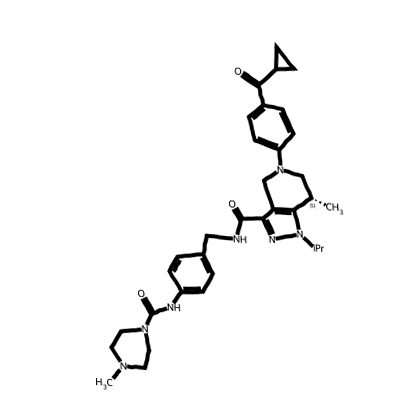 CC(C)n1nc(C(=O)NCc2ccc(NC(=O)N3CCN(C)CC3)cc2)c2c1[C@@H](C)CN(c1ccc(C(=O)C3CC3)cc1)C2